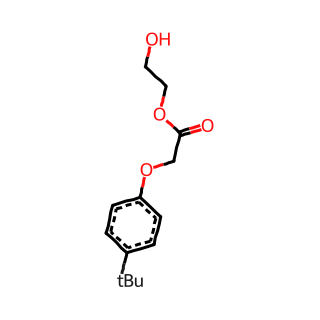 CC(C)(C)c1ccc(OCC(=O)OCCO)cc1